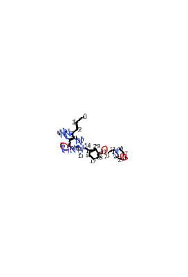 CCCc1nn(C)c2c(=O)[nH]c(N(C)Cc3cccc(OCCN4CCOCC4)c3)nc12